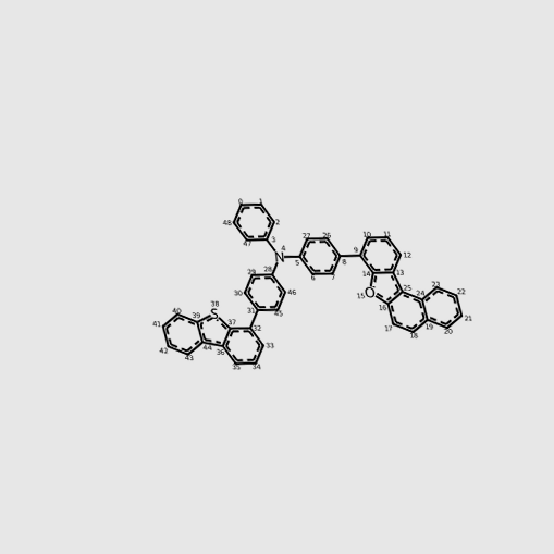 c1ccc(N(c2ccc(-c3cccc4c3oc3ccc5ccccc5c34)cc2)c2ccc(-c3cccc4c3sc3ccccc34)cc2)cc1